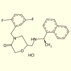 C[C@@H](NCC1CN(Cc2cc(F)ccc2F)C(=O)CO1)c1cccc2ccccc12.Cl